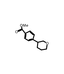 COC(=O)c1ccc(C2CCCOC2)cc1